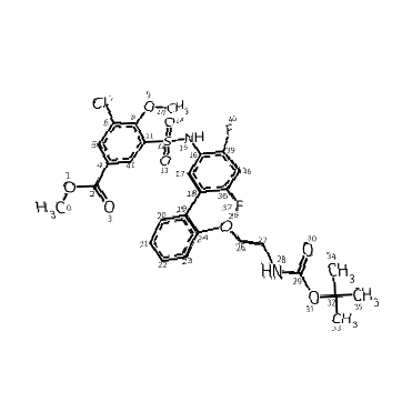 COC(=O)c1cc(Cl)c(OC)c(S(=O)(=O)Nc2cc(-c3ccccc3OCCNC(=O)OC(C)(C)C)c(F)cc2F)c1